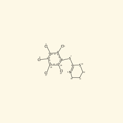 Clc1c(Cl)c(Cl)c(SC2=NCCCS2)c(Cl)c1Cl